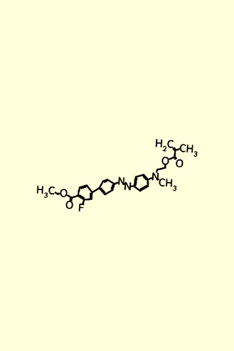 C=C(C)C(=O)OCCN(C)c1ccc(/N=N/c2ccc(-c3ccc(C(=O)OCC)c(F)c3)cc2)cc1